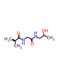 C=C(C)C(=O)NCC(=O)NCC(C)O